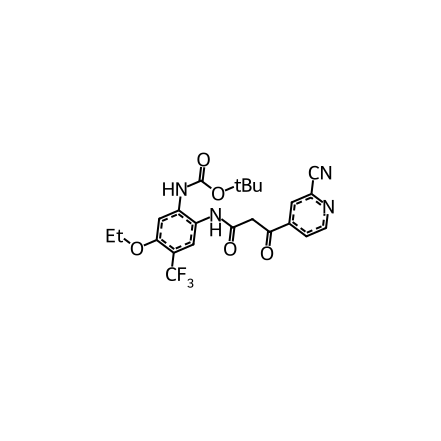 CCOc1cc(NC(=O)OC(C)(C)C)c(NC(=O)CC(=O)c2ccnc(C#N)c2)cc1C(F)(F)F